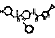 O=C(N[C@H]1CCN(S(=O)(=O)CC2CCCNC2)[C@@H](Cc2ccccc2)C1)c1cc(C2CC2)on1